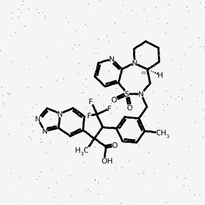 Cc1ccc(C(C(F)(F)F)C(C)(C(=O)O)c2ccn3cnnc3c2)cc1CN1C[C@@H]2CCCCN2c2ncccc2S1(=O)=O